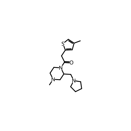 Cc1csc(CC(=O)N2CCN(C)CC2CN2CCCC2)c1